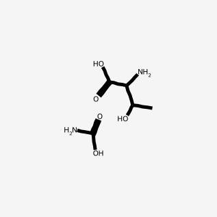 CC(O)C(N)C(=O)O.NC(=O)O